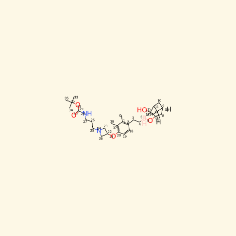 Cc1c(CCBO[C@@H]2C[C@@H]3CC(C3(C)C)C2(C)O)ccc(OC2CN(CCCNC(=O)OC(C)(C)C)C2)c1C